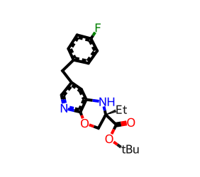 CC[C@@]1(C(=O)OC(C)(C)C)COc2ncc(Cc3ccc(F)cc3)cc2N1